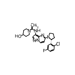 C=C(Nc1cnn2ccc(N3CCC[C@@H]3c3cc(F)ccc3Cl)nc12)N1CCC(O)CC1